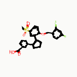 CS(=O)(=O)c1ccc(OCc2ccc(F)cc2F)c(C2=C(c3cccc(C(=O)O)c3)CCC2)c1